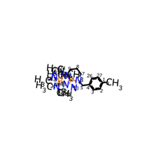 Cc1ccc(CN2CCCN(C)P2(=NC(C)(C)C)N=P(N(C)C)(N(C)C)N(C)C)cc1